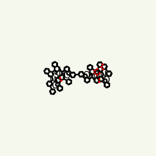 c1ccc(-c2cccc(N(c3cccc4c3oc3ccccc34)c3cc4ccccc4c4c3sc3c(N(c5cccc(-c6ccccc6)c5)c5cccc6c5oc5ccc(-c7ccc8oc9c(N(c%10ccccc%10-c%10ccccc%10)c%10cc%11ccccc%11c%11c%10sc%10c(N(c%12ccccc%12-c%12ccccc%12)c%12cccc%13c%12oc%12ccccc%12%13)cc%12ccccc%12c%10%11)cccc9c8c7)cc56)cc5ccccc5c34)c2)cc1